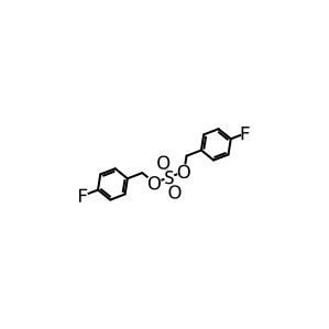 O=S(=O)(OCc1ccc(F)cc1)OCc1ccc(F)cc1